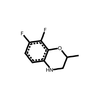 CC1CNc2ccc(F)c(F)c2O1